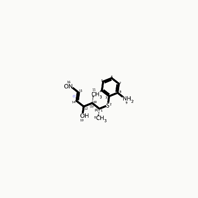 C[C@@H](Sc1ccccc1N)[C@@H](C)C(O)/C=C/N=O